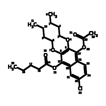 CCCCOc1c(OCCCC)c(OC(=O)CCCC)c2cc(Cl)ccc2c1OC(C)=O